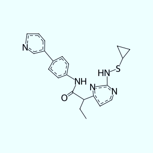 CCC(C(=O)Nc1ccc(-c2cccnc2)cc1)c1ccnc(NSC2CC2)n1